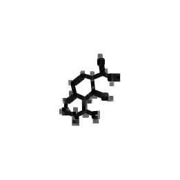 O=C(O)C1C=CC2=C[N]NC(Cl)=C2C1=O